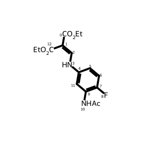 CCOC(=O)C(=CNc1ccc(F)c(NC(C)=O)c1)C(=O)OCC